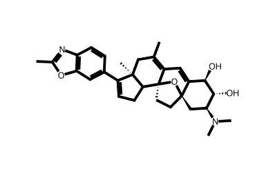 CC1=C2C=C3[C@@H](O)[C@H](O)[C@@H](N(C)C)C[C@]34CC[C@]2(O4)C2CC=C(c3ccc4nc(C)oc4c3)[C@@]2(C)C1